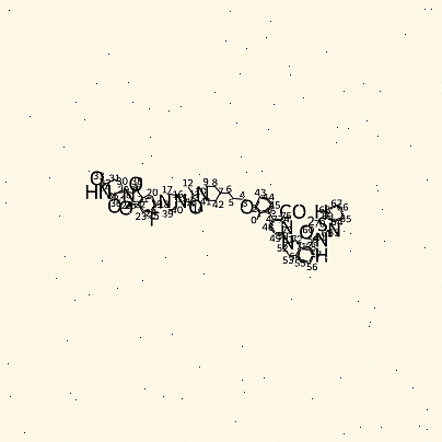 Cc1c(OCCCC2CCN(C(C)C(=O)N3CCN(c4cc5c(cc4F)C(=O)N(C4CCC(=O)NC4=O)C5=O)CC3)CC2)cccc1-c1ccc(N2CCc3cccc(C(=O)Nc4nc5ccccc5s4)c3C2)nc1C(=O)O